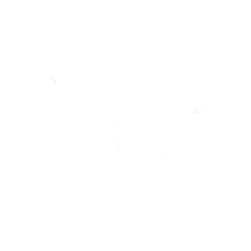 NC1=CCC=C(Oc2ccc(N)cc2C(F)(F)F)C(C(F)(F)F)=C1